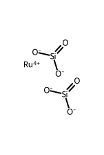 O=[Si]([O-])[O-].O=[Si]([O-])[O-].[Ru+4]